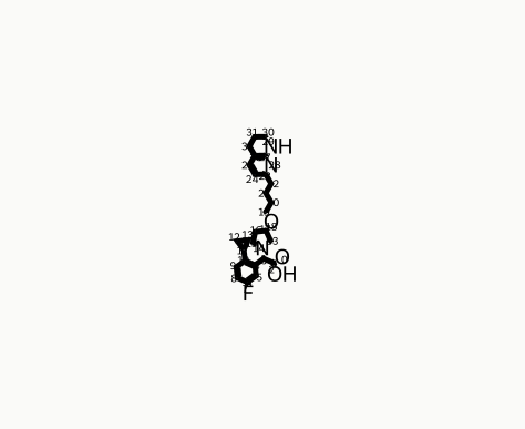 O=C(O)[C@@H](c1cc(F)ccc1C1CC1)N1CC[C@@H](OCCCCc2ccc3c(n2)NCCC3)C1